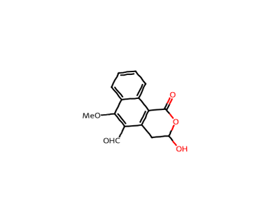 COc1c(C=O)c2c(c3ccccc13)C(=O)OC(O)C2